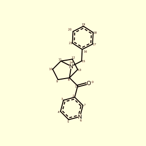 O=C(c1cccnc1)C12CCC(CC1)N2Cc1ccccc1